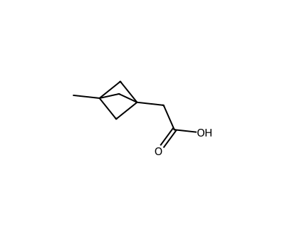 CC12CC(CC(=O)O)(C1)C2